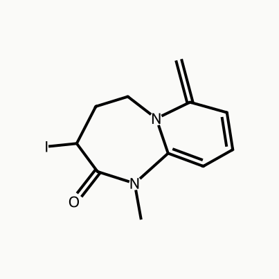 C=C1C=CC=C2N(C)C(=O)C(I)CCN12